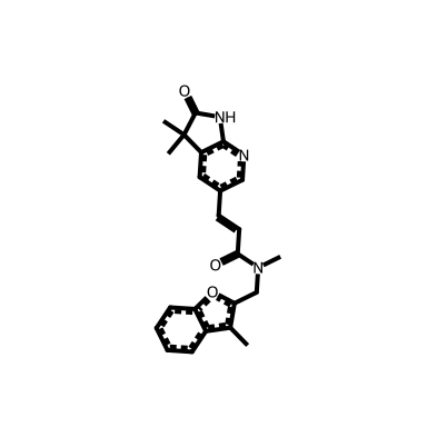 Cc1c(CN(C)C(=O)C=Cc2cnc3c(c2)C(C)(C)C(=O)N3)oc2ccccc12